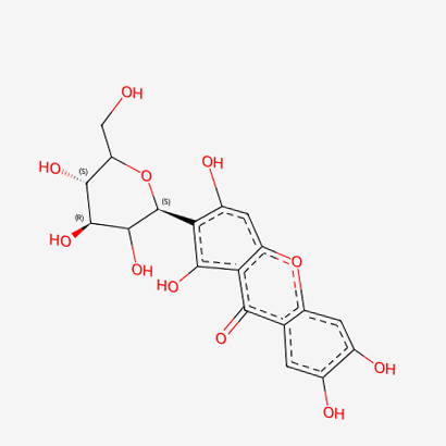 O=c1c2cc(O)c(O)cc2oc2cc(O)c([C@@H]3OC(CO)[C@@H](O)[C@H](O)C3O)c(O)c12